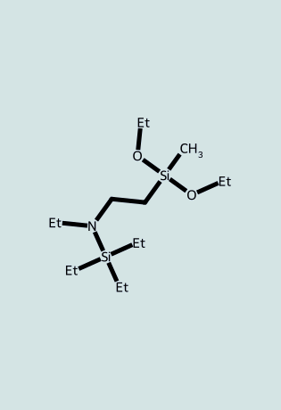 CCO[Si](C)(CCN(CC)[Si](CC)(CC)CC)OCC